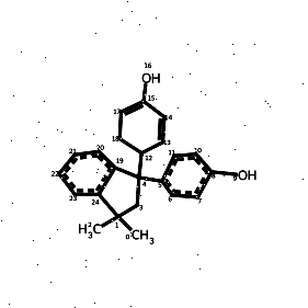 CC1(C)CC(c2ccc(O)cc2)(C2C=CC(O)=CC2)c2ccccc21